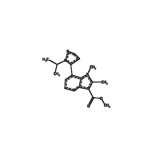 COC(=O)c1c(C)n(C)c2c(-c3ccnn3C(C)C)cccc12